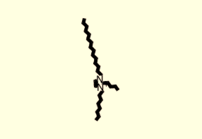 CCCCCCCCCCCCCCCn1cc[n+](CCCCCCCC)c1CCCC